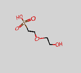 O=S(=O)(O)CCOCCO